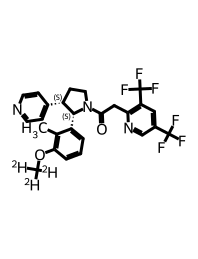 [2H]C([2H])([2H])Oc1cccc([C@@H]2[C@H](c3ccncc3)CCN2C(=O)Cc2ncc(C(F)(F)F)cc2C(F)(F)F)c1C